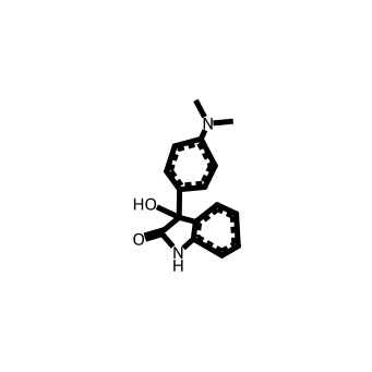 CN(C)c1ccc(C2(O)C(=O)Nc3ccccc32)cc1